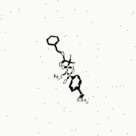 C=Cc1ccc(S(=O)(=O)N(C)S(=O)(=O)C(F)(F)C(=O)OCC2CCCCC2)cc1